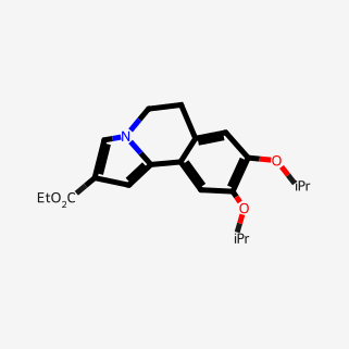 CCOC(=O)c1cc2n(c1)CCc1cc(OC(C)C)c(OC(C)C)cc1-2